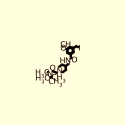 COc1cc(CI)cc(C(=O)NCC2CCN(CC(=O)N(C)C(C)(C)C)CC2)c1